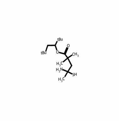 CC(C)(C)CC(OC(=O)C(C)(C)CC(C)(N)S)C(C)(C)C